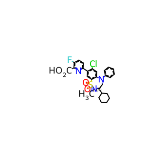 CN1[C@H](C2CCCCC2)CN(c2ccccc2)c2cc(Cl)c(-c3ccc(F)c(C(=O)O)n3)cc2S1(=O)=O